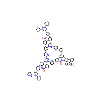 CC1(C)c2ccccc2-c2cc3c4cc(-c5cccc(-c6ccc(-c7cc(-c8ccc9c%10ccc(-c%11cc(-c%12ccccc%12)nc(-c%12ccccc%12)c%11)cc%10n%10c(=O)c%11ccccc%11c8c9%10)cc(-c8cccc(-c9ccc(-c%10cc(-c%11ccc%12c%13ccc(-c%14cc(-c%15ccccn%15)nc(-c%15ccccn%15)c%14)cc%13n%13c(=O)c%14ccccc%14c%11c%12%13)cc(-c%11ccccn%11)n%10)nc9)c8)n7)cc6)c5)cc5c6ccccc6c(=O)n(c3cc21)c54